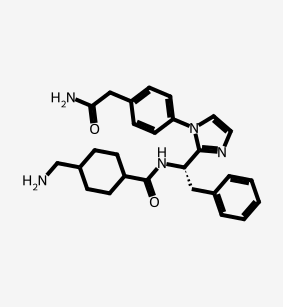 NCC1CCC(C(=O)N[C@@H](Cc2ccccc2)c2nccn2-c2ccc(CC(N)=O)cc2)CC1